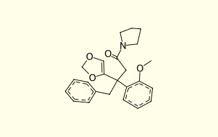 COc1ccccc1C(CC(=O)N1CCCC1)(Cc1ccccc1)C1=COCO1